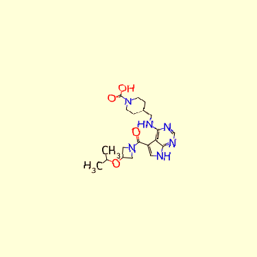 CC(C)OC1CN(C(=O)c2c[nH]c3ncnc(NCC4CCN(C(=O)O)CC4)c23)C1